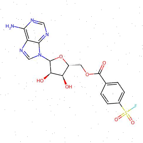 Nc1ncnc2c1ncn2C1O[C@H](COC(=O)c2ccc(S(=O)(=O)F)cc2)[C@@H](O)[C@H]1O